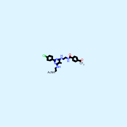 CC(=O)NCCNc1nc(-c2ccc(Cl)cc2)nc(NCCNC(=O)c2ccc(C(=O)C(F)(F)F)cc2)c1C